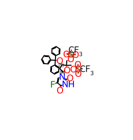 O=c1[nH]c(=O)n([C@H]2C[C@H](OC(c3ccccc3)(c3ccccc3)c3ccccc3)C(COS(=O)(=O)C(F)(F)F)(COS(=O)(=O)C(F)(F)F)O2)cc1F